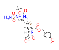 COc1ccc(COC(=O)C2=C(S[C@H]3C[C@@H](CNS(N)(=O)=O)N(C(=O)OC(C)(C)C)C3)[C@H](C)[C@@H]3[C@@H]([C@@H](C)O)C(=O)N23)cc1